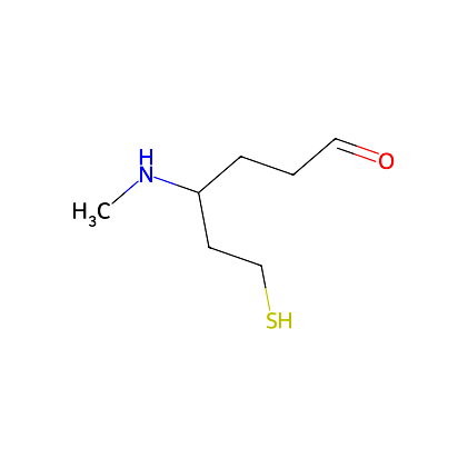 CNC(CCS)CCC=O